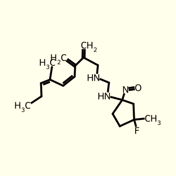 C=C(/C=C\C(C)=C/CC)C(=C)CNCNC1(N=O)CCC(C)(F)C1